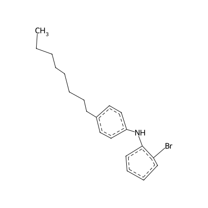 CCCCCCCCc1ccc(Nc2ccccc2Br)cc1